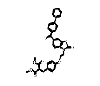 COC(=O)C(Cc1ccc(OCCn2c(=O)sc3cc(C(=O)c4ccc(-c5ccccc5)cc4)ccc32)cc1)C(=O)OC